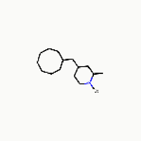 CCN1CCC(CC2CCCCCCC2)CC1C